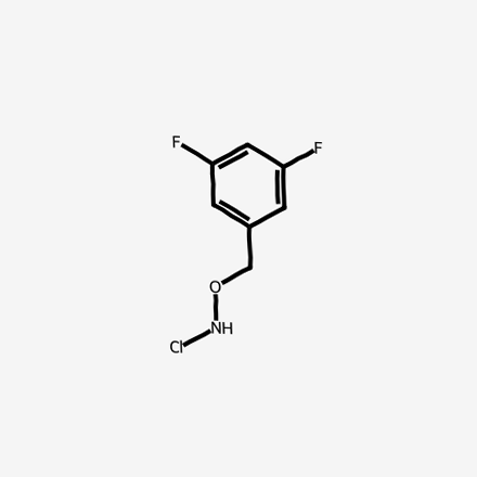 Fc1cc(F)cc(CONCl)c1